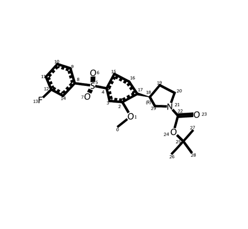 COc1cc(S(=O)(=O)c2cccc(F)c2)ccc1[C@H]1CCN(C(=O)OC(C)(C)C)C1